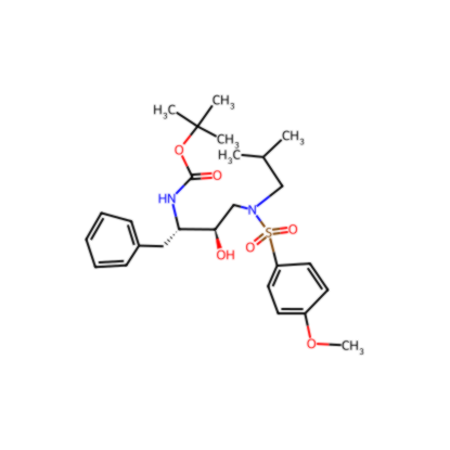 COc1ccc(S(=O)(=O)N(CC(C)C)C[C@@H](O)[C@H](Cc2ccccc2)NC(=O)OC(C)(C)C)cc1